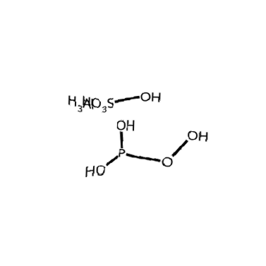 O=S(=O)(O)O.OOP(O)O.[AlH3]